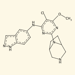 COc1nc(N2C3CCC2CNC3)nc(Nc2ccc3[nH]ncc3c2)c1Cl